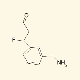 NCc1c[c]cc(C(F)CC=O)c1